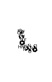 C[C@@H]1CN(c2ccc(Nc3ncc4c(n3)N(C)CN(c3ccccc3Cl)C4=O)cc2F)CCN1C(=O)OC(C)(C)C